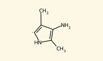 Cc1[c][nH]c(C)c1N